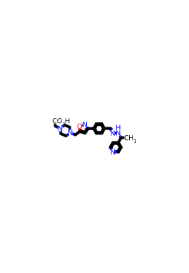 CC(NN=Cc1ccc(-c2cc(CN3CCN(CC(=O)O)CC3)on2)cc1)c1ccncc1